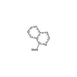 CNc1nc[c]c2ccccc12